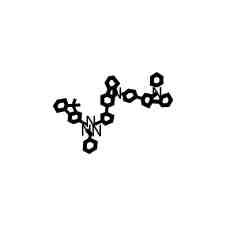 CC1(C)c2ccccc2-c2ccc(-c3nc(-c4ccccc4)nc(-c4cccc(-c5ccc6c7ccccc7n(-c7ccc(-c8ccc9c%10ccccc%10n(-c%10ccccc%10)c9c8)cc7)c6c5)c4)n3)cc21